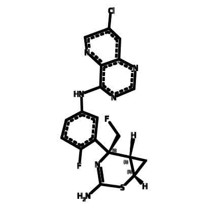 NC1=N[C@](CF)(c2cc(Nc3ncnc4cc(Cl)cnc34)ccc2F)[C@@H]2C[C@@H]2S1